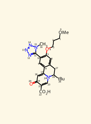 COCCCOc1cc2c(cc1-c1nnnn1C)-c1cc(=O)c(C(=O)O)cn1C(C(C)(C)C)C2